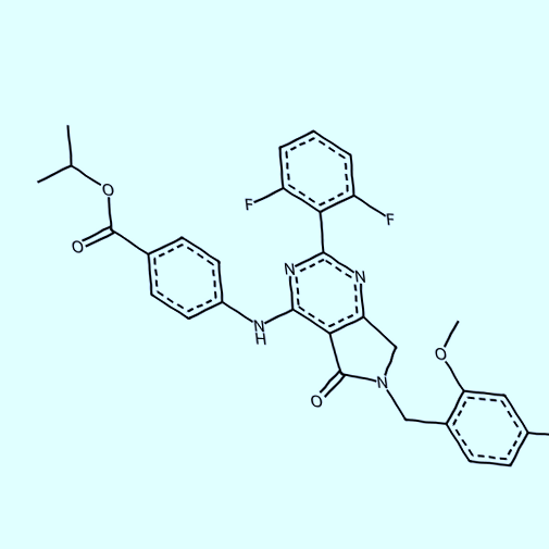 COc1ccc(CN2Cc3nc(-c4c(F)cccc4F)nc(Nc4ccc(C(=O)OC(C)C)cc4)c3C2=O)c(OC)c1